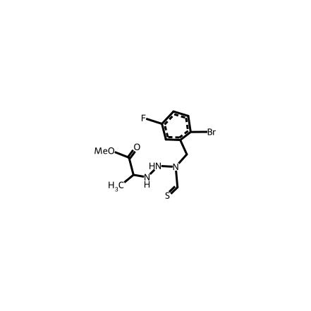 COC(=O)C(C)NNN(C=S)Cc1cc(F)ccc1Br